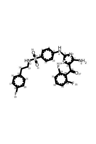 Nc1nc(Nc2ccc(S(=O)(=O)NCCc3ccc(F)cc3)cc2)sc1C(=O)c1c(F)cccc1F